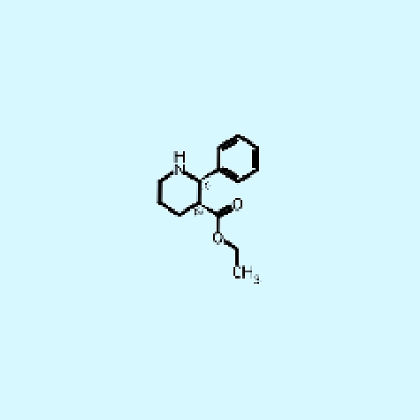 CCOC(=O)[C@H]1CCCN[C@H]1c1ccccc1